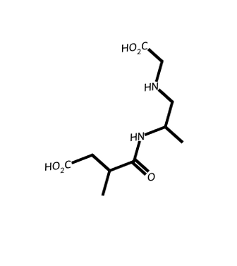 CC(CNCC(=O)O)NC(=O)C(C)CC(=O)O